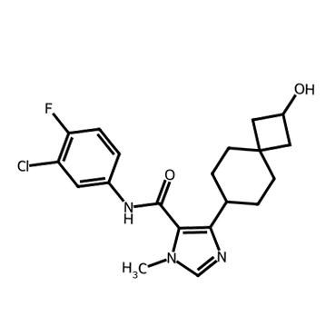 Cn1cnc(C2CCC3(CC2)CC(O)C3)c1C(=O)Nc1ccc(F)c(Cl)c1